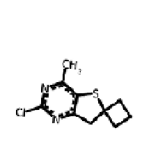 Cc1nc(Cl)nc2c1SC1(CCC1)C2